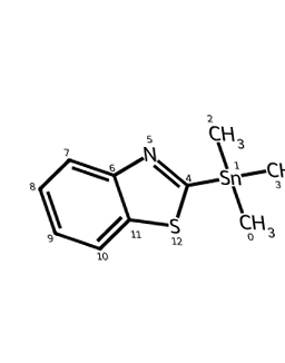 [CH3][Sn]([CH3])([CH3])[c]1nc2ccccc2s1